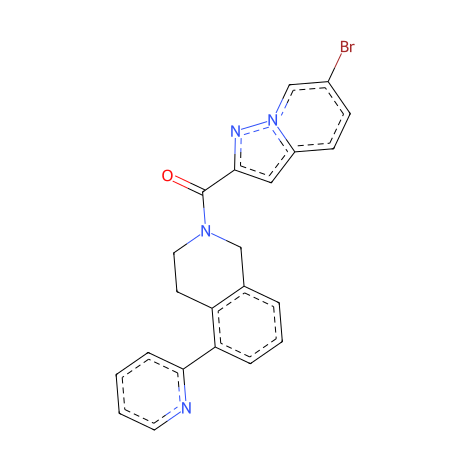 O=C(c1cc2ccc(Br)cn2n1)N1CCc2c(cccc2-c2ccccn2)C1